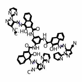 [C-]#[N+]c1cnn(-c2ncccn2)c1/N=N/c1c(O)c(C(=O)Nc2cc(NC(=O)c3cc4ccccc4c(/N=N/c4c(C#N)cnn4-c4ccccn4)c3O)cc(NC(=O)c3cc4ccccc4c(/N=N/c4c([N+]#[C-])cnn4-c4ncccn4)c3O)c2)cc2ccccc12